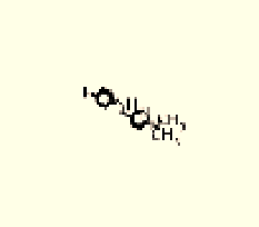 CN(C)c1ccc(CNc2ccc(F)cc2)cn1